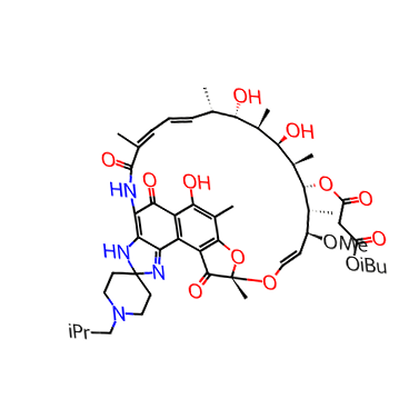 CO[C@H]1/C=C/O[C@@]2(C)Oc3c(C)c(O)c4c(c3C2=O)C2=NC3(CCN(CC(C)C)CC3)NC2=C(NC(=O)/C(C)=C\C=C\[C@H](C)[C@H](O)[C@@H](C)[C@@H](O)[C@@H](C)[C@H](OC(=O)CC(=O)OCC(C)C)[C@@H]1C)C4=O